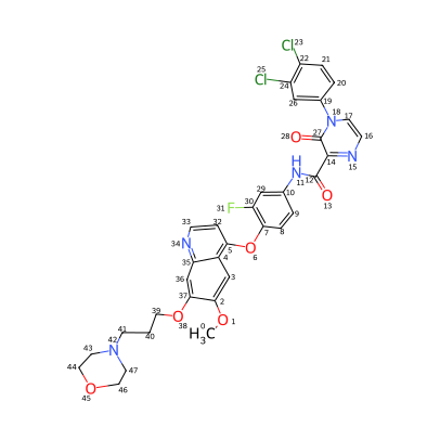 COc1cc2c(Oc3ccc(NC(=O)c4nccn(-c5ccc(Cl)c(Cl)c5)c4=O)cc3F)ccnc2cc1OCCCN1CCOCC1